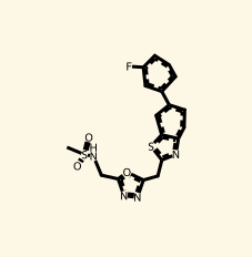 CS(=O)(=O)NCc1nnc(Cc2nc3ccc(-c4cccc(F)c4)cc3s2)o1